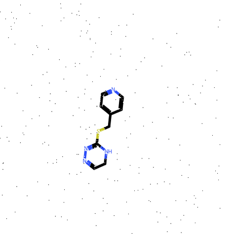 C1=NN=C(SCc2ccncc2)NC1